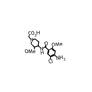 COc1cc(N)c(Cl)cc1C(=O)NC1CCN(CC(=O)O)CC1OC